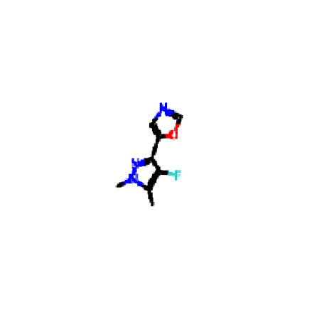 Cc1c(F)c(-c2cnco2)nn1C